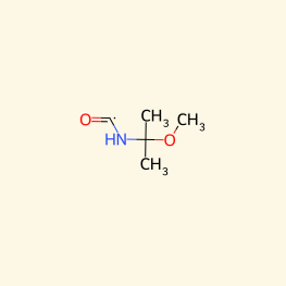 COC(C)(C)N[C]=O